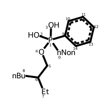 CCCCCCCCCP(O)(O)(OCC(CC)CCCC)c1ccccc1